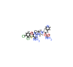 Cn1c(N2CCN(CC(Cc3ccncc3)OC(N)=O)CC2)nc(N)c(Sc2cccc(Cl)c2Cl)c1=O